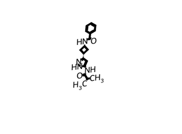 CC(C)C(=O)Nc1cc([C@H]2C[C@@H](NC(=O)c3ccccc3)C2)n[nH]1